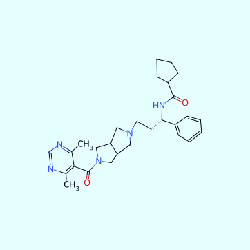 Cc1ncnc(C)c1C(=O)N1CC2CN(CC[C@H](NC(=O)C3CCCC3)c3ccccc3)CC2C1